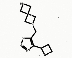 C1CC(c2nnsc2CN2CC3(CNC3)C2)C1